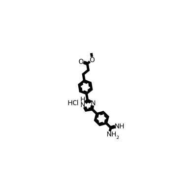 COC(=O)CCc1ccc(-c2nc(-c3ccc(C(=N)N)cc3)c[nH]2)cc1.Cl